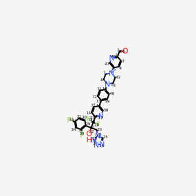 O=Cc1ccc(N2CCN(c3ccc(-c4ccc(C(F)(F)C(O)(Cn5cnnn5)c5ccc(F)cc5F)nc4)cc3)CC2)cn1